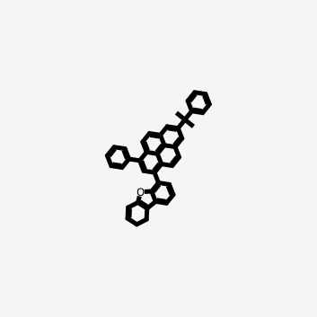 CC(C)(c1ccccc1)c1cc2ccc3c(-c4ccccc4)cc(-c4cccc5c6c(oc45)C=CCC6)c4ccc(c1)c2c34